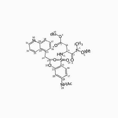 CON(C)C(=O)C(CC(=O)OC(C)(C)C)NS(=O)(=O)c1ccc(NC(C)=O)cc1OCCc1cccc2ncccc12